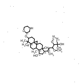 COC(C[C@@H](C)[C@H]1C[C@H](O)[C@@]2(C)C3CC[C@H]4C(C)(C)C(O[C@H]5CNCCO5)CCC45CC35CCC12C)C(OC)C(C)(C)O